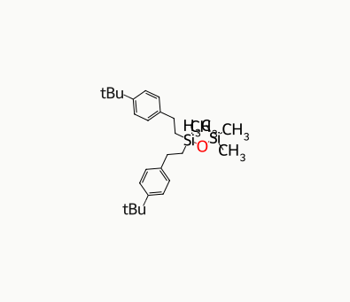 CC(C)(C)c1ccc(CC[Si](C)(CCc2ccc(C(C)(C)C)cc2)O[Si](C)(C)C)cc1